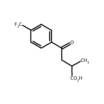 CC(CC(=O)c1ccc(C(F)(F)F)cc1)C(=O)O